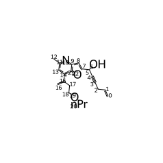 C=CCC#CC(O)c1cc2nc(C)cc(C(=C)CCOCCC)c2o1